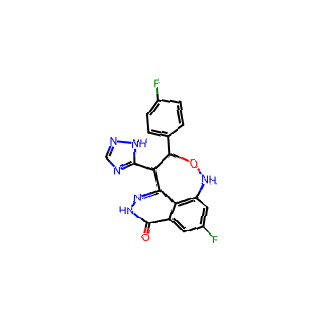 O=c1[nH]nc2c3c(cc(F)cc13)NOC(c1ccc(F)cc1)C2c1ncn[nH]1